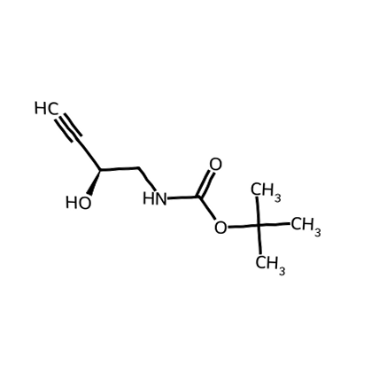 C#C[C@H](O)CNC(=O)OC(C)(C)C